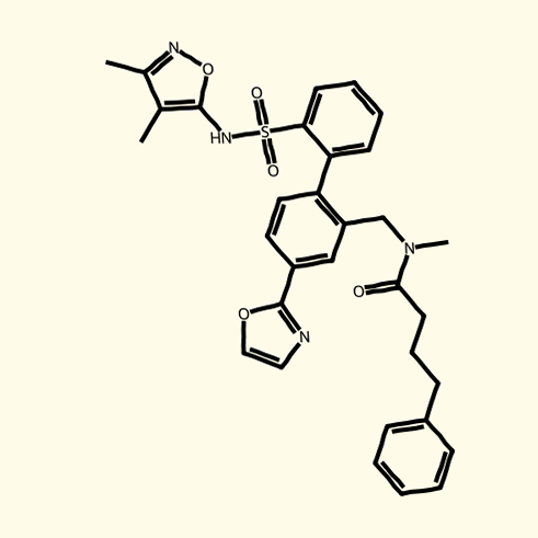 Cc1noc(NS(=O)(=O)c2ccccc2-c2ccc(-c3ncco3)cc2CN(C)C(=O)CCCc2ccccc2)c1C